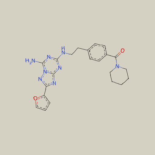 Nc1nc(NCCc2ccc(C(=O)N3CCCCC3)cc2)nc2nc(-c3ccco3)nn12